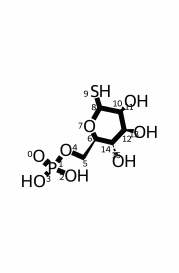 O=P(O)(O)OC[C@H]1OC(S)[C@@H](O)[C@@H](O)[C@@H]1O